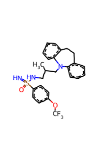 CC(CNS(=N)(=O)c1ccc(OC(F)(F)F)cc1)CN1c2ccccc2CCc2ccccc21